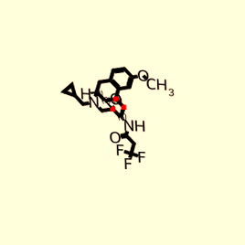 COc1ccc2c(c1)[C@]13CCN(CC4CC4)[C@H](C2)[C@]12CC[C@@](NC(=O)CC(F)(F)F)(CO2)C3